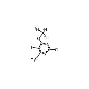 [2H]C([2H])([2H])Oc1nc(Cl)nc(C)c1F